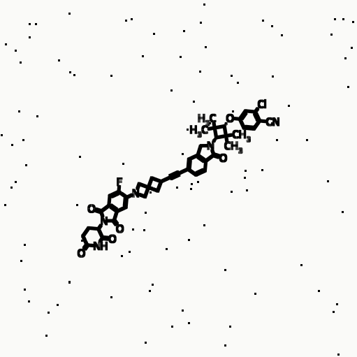 CC1(C)[C@H](Oc2ccc(C#N)c(Cl)c2)C(C)(C)[C@H]1N1Cc2cc(C#CC3CC4(C3)CN(c3cc5c(cc3F)C(=O)N(C3CCC(=O)NC3=O)C5=O)C4)ccc2C1=O